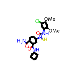 COc1cc(OC)c(NC(=O)N(S)c2ccc(C(N)=O)c(C(=O)Nc3ccccc3)c2)cc1Cl